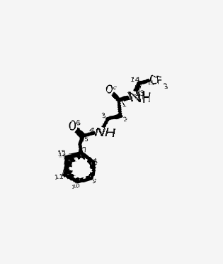 O=C(CCNC(=O)c1ccccc1)NCC(F)(F)F